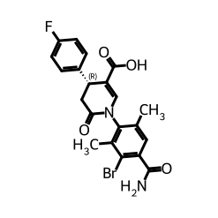 Cc1cc(C(N)=O)c(Br)c(C)c1N1C=C(C(=O)O)[C@@H](c2ccc(F)cc2)CC1=O